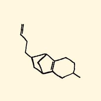 C=CCCC1CC2CC1C1=C2CC(C)CC1